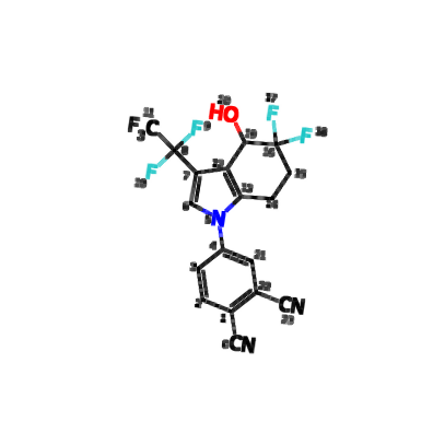 N#Cc1ccc(-n2cc(C(F)(F)C(F)(F)F)c3c2CCC(F)(F)C3O)cc1C#N